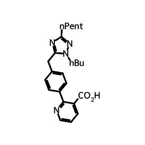 CCCCCc1nc(Cc2ccc(-c3ncccc3C(=O)O)cc2)n(CCCC)n1